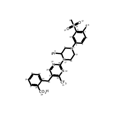 CC(C)C1CN(c2ccc(F)c(S(C)(=O)=O)c2)CCN1c1ncc(Cc2ccccc2C(=O)O)c(C(F)(F)F)n1